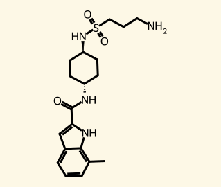 Cc1cccc2cc(C(=O)N[C@H]3CC[C@H](NS(=O)(=O)CCCN)CC3)[nH]c12